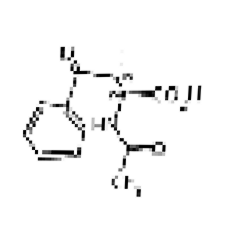 C[C@@H](C(=O)c1ccccc1)[C@H](NC(=O)C(F)(F)F)C(=O)O